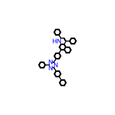 C1=C(c2ccccc2)c2c(cc(-c3ccc(-c4nc(-c5ccccc5)nc(-c5ccc(-c6ccccc6)cc5)n4)cc3)c3ccccc23)NC1c1ccccc1